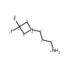 NCCCN1CC(F)(F)C1